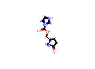 O=C1CC[C@H](COC(=O)n2ccnc2)N1